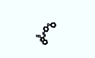 Oc1nn2ccccc2c1/N=N/c1ccc(Oc2ccccc2)cc1